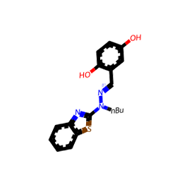 CCCCN(/N=C/c1cc(O)ccc1O)c1nc2ccccc2s1